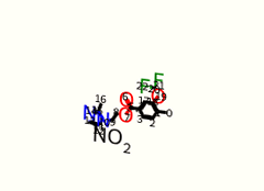 Cc1ccc(C(=O)OCCn2c([N+](=O)[O-])cnc2C)cc1OC(F)F